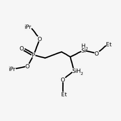 CCO[SiH2]C(CCP(=O)(OC(C)C)OC(C)C)[SiH2]OCC